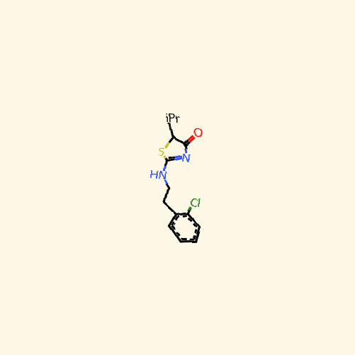 CC(C)C1SC(NCCc2ccccc2Cl)=NC1=O